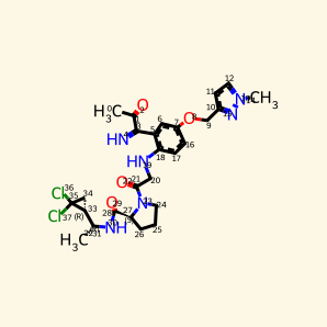 CC(=O)C(=N)c1cc(OCc2ccn(C)n2)ccc1NCC(=O)N1CCC[C@H]1C(=O)N[C@H](C)[C@H]1CC1(Cl)Cl